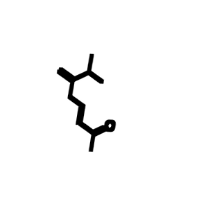 C=C(CC=CC(C)=O)C(C)C